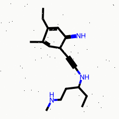 CCC1=CC(=N)C(C#CNC(CC)CCNC)C=C1C